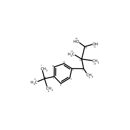 CC(c1ccc(C(C)(C)C)cc1)C(C)(C)C(O)O